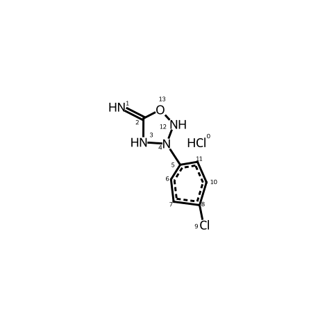 Cl.N=C1NN(c2ccc(Cl)cc2)NO1